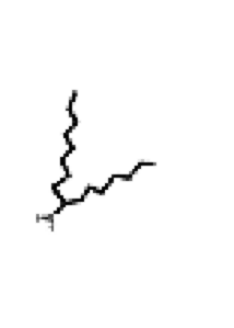 CCCCCCCCC(BF)CCCCCCC